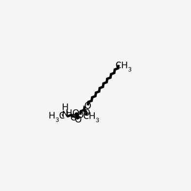 CCCCCCCCCCCCCCCCCOCC(COP(=O)(O)OCCNC)OC